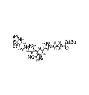 CCC1(C(=O)NC(C)C)CCN(c2ccc(-c3cc(-c4cnn(C5CC6(C5)CN(C(=O)OC(C)(C)C)C6)c4)cn4ncc(C#N)c34)cn2)CC1